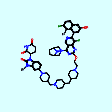 CCc1c(F)ccc2cc(O)cc(-c3ncc4c(N5CC6CCC(C5)N6)nc(OCCN5CCC(CC6CCN(CC7CCN(c8ccc9c(c8)n(C(C)C)c(=O)n9C8CCC(=O)NC8=O)CC7)CC6)CC5)nc4c3F)c12